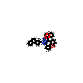 c1ccc(-c2nc(-c3ccc4c(ccc5ccccc54)c3)nc(-c3cccc4oc5cccc(-c6cccc7c6-c6ccccc6CC7)c5c34)n2)cc1